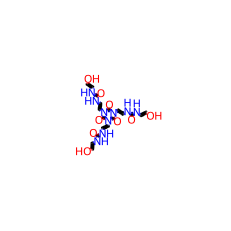 O=C(NCCO)NCCn1c(=O)n(CCNC(=O)NCCO)c(=O)n(CCNC(=O)NCCO)c1=O